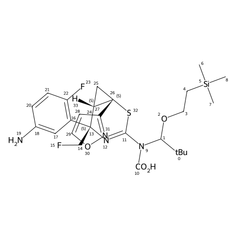 CC(C)(C)C(OCC[Si](C)(C)C)N(C(=O)O)C1=N[C@](CF)(c2cc(N)ccc2F)[C@@H]2C[C@]2(c2ccon2)S1